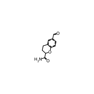 NC(=O)C1CCc2cc(C=O)ccc2O1